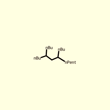 CCCCCC(CCCC)CC(CCCC)CCCC